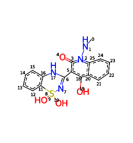 CNn1c(=O)c(C2=NS(O)(O)c3ccccc3N2)c(O)c2ccccc21